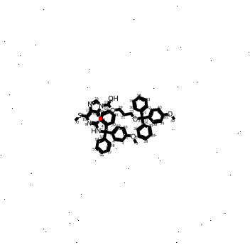 COc1ccc(C(Nc2nc(SC)c3ncn(C(O)OCCCOC(c4ccccc4)(c4ccccc4)c4ccc(OC)cc4)c3n2)(c2ccccc2)c2ccccc2)cc1